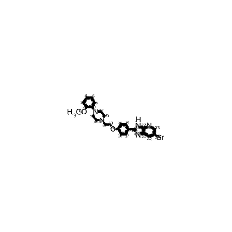 COc1ccccc1N1CCN(CCOc2ccc(-c3nc4cc(Br)cnc4[nH]3)cc2)CC1